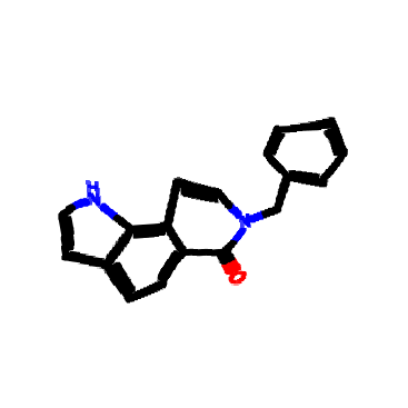 O=c1c2ccc3cc[nH]c3c2ccn1Cc1ccccc1